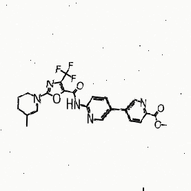 COC(=O)c1ccc(-c2ccc(NC(=O)c3oc(N4CCCC(C)C4)nc3C(F)(F)F)nc2)cn1